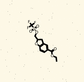 CCOC(=O)c1ccc2c(c1)CC(COS(=O)(=O)C(F)(F)F)O2